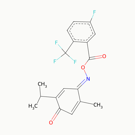 CC1=CC(=O)C(C(C)C)=CC1=NOC(=O)c1cc(F)ccc1C(F)(F)F